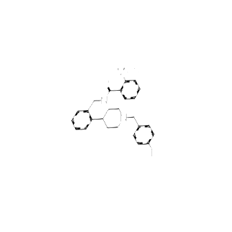 CSc1ccccc1C(=O)NCc1ccccc1C1CCN(Cc2ccc(F)cc2)CC1